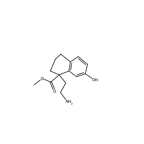 COC(=O)C1(CCN)CCCc2ccc(O)cc21